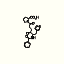 O=C(NC(Cc1ccsc1)C(=O)CCC(=O)N1CCC[C@H]1C(=O)O)c1ccccc1